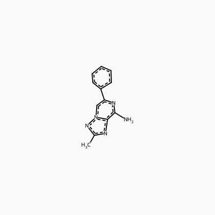 Cc1nc2c(N)nc(-c3ccccc3)cn2n1